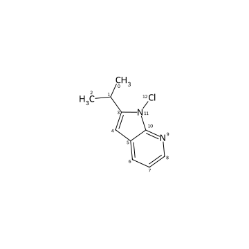 CC(C)c1cc2cccnc2n1Cl